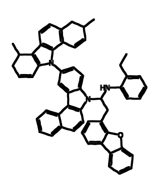 CCc1ccccc1NC(Cc1cccc2c1oc1ccccc12)n1c2ccc(-n3c4c(c5ccc6c(c53)C=CC(C)C6)C(C)CC=C4)cc2c2c3ccccc3ccc21